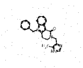 Cc1[nH]cnc1CN1CCc2c(c3ccccc3n2Cc2ccccc2)C1=O